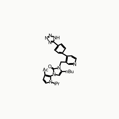 CCCCc1cn(-c2c(C(C)=O)ccn2C(C)C)c(=O)n1Cc1cnccc1-c1ccc(-c2nnn[nH]2)cc1